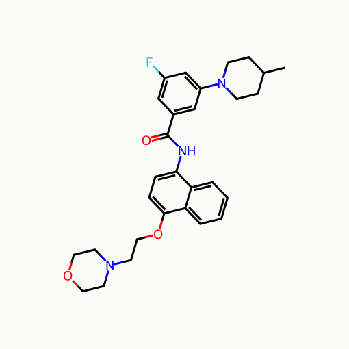 CC1CCN(c2cc(F)cc(C(=O)Nc3ccc(OCCN4CCOCC4)c4ccccc34)c2)CC1